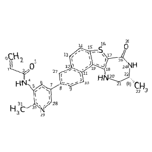 C=CC(=O)Nc1cc(-c2ccc3c(ccc4sc5c(c43)NC[C@@H](C)NC5=O)c2)cnc1C